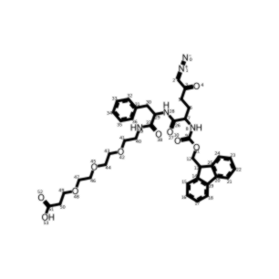 [N-]=[N+]=CC(=O)CCC(NC(=O)OCC1c2ccccc2-c2ccccc21)C(=O)NC(Cc1ccccc1)C(=O)NCCOCCOCCOCCC(=O)O